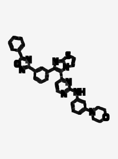 c1ccc(-c2nc(-c3cccc(-c4nc5sccn5c4-c4ccnc(Nc5cccc(N6CCOCC6)c5)n4)c3)no2)cc1